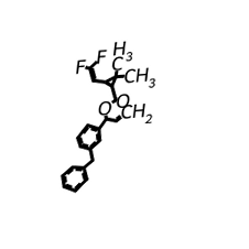 C=CC(OC(=O)C1C(C=C(F)F)C1(C)C)c1cccc(Cc2ccccc2)c1